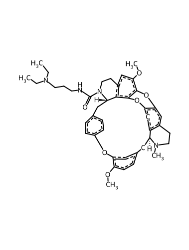 CCN(CC)CCCNC(=O)N1CCc2cc(OC)c3c4c2[C@@H]1Cc1ccc(cc1)Oc1cc(ccc1OC)C[C@H]1c2cc(c(cc2CCN1C)O3)O4